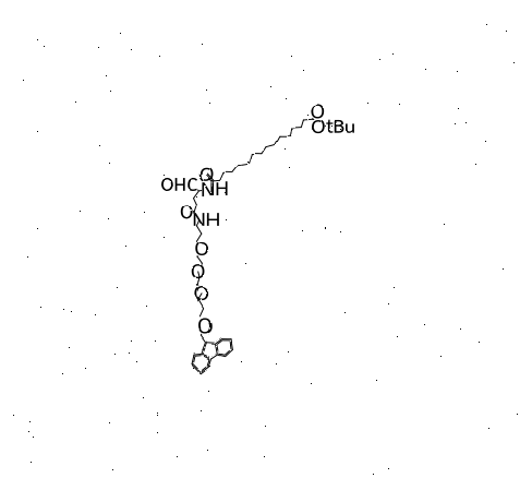 CC(C)(C)OC(=O)CCCCCCCCCCCCCCC(=O)NC(C=O)CCC(=O)NCCCOCCOCCOCCCOCC1c2ccccc2-c2ccccc21